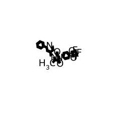 CC1C(=O)N(c2ccc(S(=O)(=O)C(F)(F)F)cc2)C(=O)N1Cc1ccnc(-c2ccccc2)c1